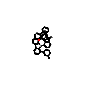 Cc1cccc(-c2cccc3c4cccc(C5=CC(C)CC=C5)c4n(-c4cccc5c4C(=O)N(c4ccccc4-c4ccccc4)C5=O)c23)c1